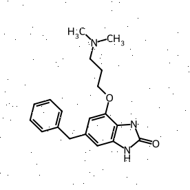 CN(C)CCCOc1cc(Cc2ccccc2)cc2c1[N]C(=O)N2